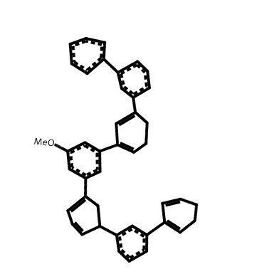 COc1cc(C2=CCCC(c3cccc(-c4ccccc4)c3)=C2)cc(C2=CC=CC(c3cccc(C4=CCCC=C4)c3)C2)c1